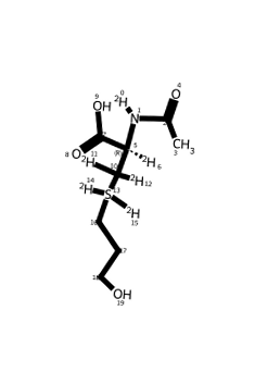 [2H]N(C(C)=O)[C@]([2H])(C(=O)O)C([2H])([2H])S([2H])([2H])CCCO